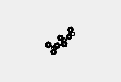 c1ccc(-n2c3ccccc3c3cc(-c4cccc5c4c4ccccc4n5-c4ccc5oc6ccccc6c5c4)ccc32)cc1